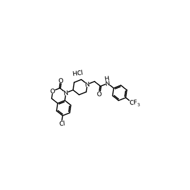 Cl.O=C(CN1CCC(N2C(=O)OCc3cc(Cl)ccc32)CC1)Nc1ccc(C(F)(F)F)cc1